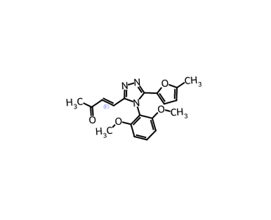 COc1cccc(OC)c1-n1c(/C=C/C(C)=O)nnc1-c1ccc(C)o1